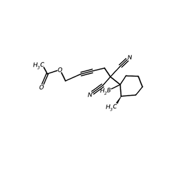 BC1(C(C#N)(C#N)CC#CCOC(C)=O)CCCC[C@H]1C